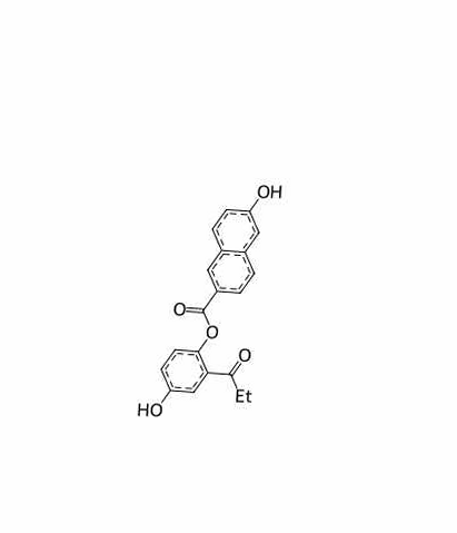 CCC(=O)c1cc(O)ccc1OC(=O)c1ccc2cc(O)ccc2c1